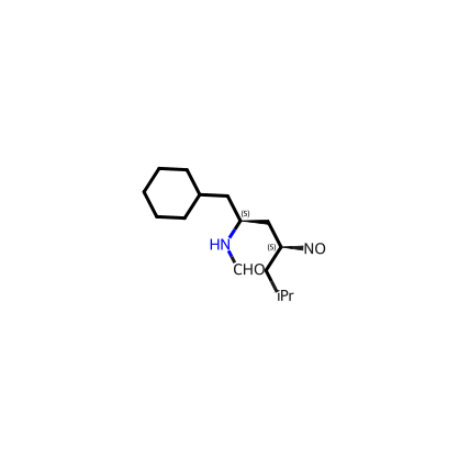 CC(C)C[C@@H](C[C@H](CC1CCCCC1)NC=O)N=O